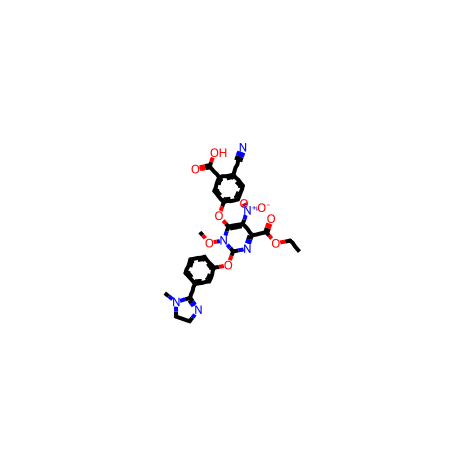 CCOC(=O)C1=NC(Oc2cccc(C3=NCCN3C)c2)N(OC)C(Oc2ccc(C#N)c(C(=O)O)c2)=C1[N+](=O)[O-]